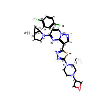 C[C@@H]1CN(C2COC2)CCN1c1nnc(-c2cnn3ccc(N4CC[C@H]5C[C@]54c4cc(F)ccc4F)nc23)s1